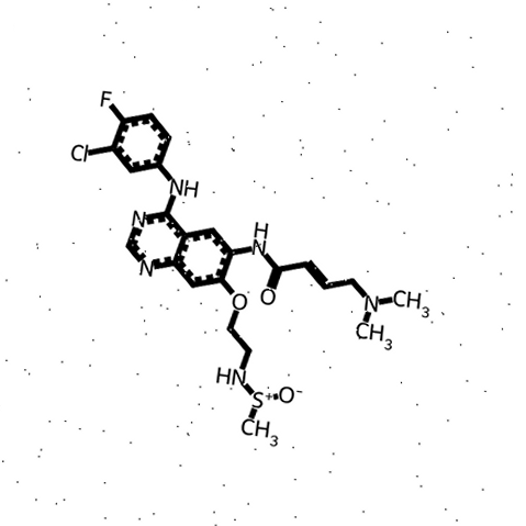 CN(C)C/C=C/C(=O)Nc1cc2c(Nc3ccc(F)c(Cl)c3)ncnc2cc1OCCN[S+](C)[O-]